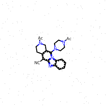 CC(=O)N1CCN(c2c3c(c(C#N)c4nc5ccccc5n24)CCN(C(C)=O)C3)CC1